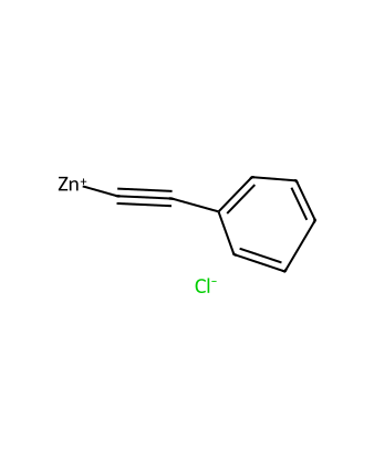 [Cl-].[Zn+][C]#Cc1ccccc1